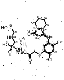 CC(C)N.COC(=O)CSc1cc(/N=c2\sc(=O)n3n2CCCC3)c(F)cc1Cl.O=C(O)CNCP(=O)(O)O